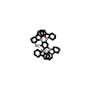 CC12C=CC=CC1c1ccccc1N2c1cc(-n2c3ccccc3c3ccccc32)c(-n2c3ccccc3c3ccccc32)c(C#N)c1-n1c2ccccc2c2ccccc21